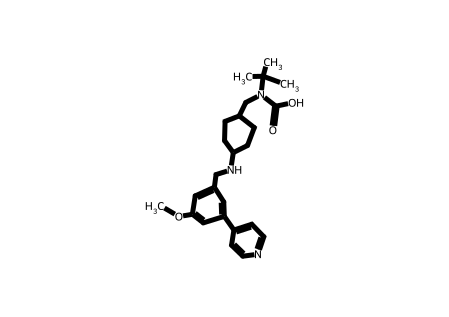 COc1cc(CNC2CCC(CN(C(=O)O)C(C)(C)C)CC2)cc(-c2ccncc2)c1